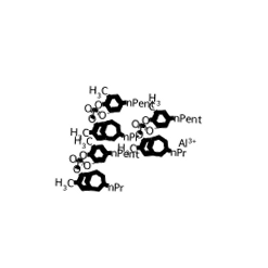 CCCCCc1ccc(OP(=O)([O-])Oc2c(C)cc3cc2CCC(CCC)C3)c(C)c1.CCCCCc1ccc(OP(=O)([O-])Oc2c(C)cc3cc2CCC(CCC)C3)c(C)c1.CCCCCc1ccc(OP(=O)([O-])Oc2c(C)cc3cc2CCC(CCC)C3)c(C)c1.[Al+3]